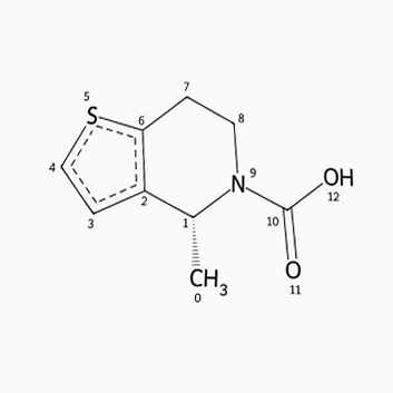 C[C@@H]1c2ccsc2CCN1C(=O)O